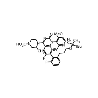 COc1ccnc(C(C)C)c1-n1c(=O)nc(N2CCN(C(=O)O)C[C@@H]2C)c2cc(F)c(-c3c(F)cccc3CCCO[Si](C)(C)C(C)(C)C)nc21